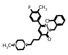 Cc1cc(-c2cc(CCCN3CCN(C)CC3)c(=O)n(Cc3ccccc3Cl)n2)ccc1F